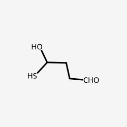 O=CCCC(O)S